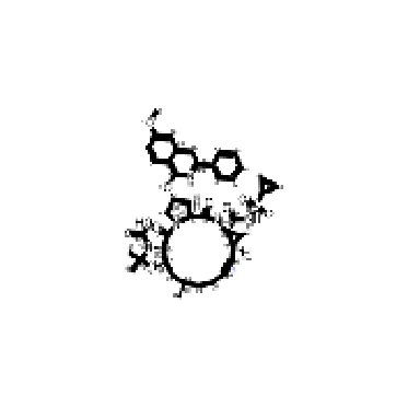 COc1ccc2c(O[C@@H]3C[C@H]4C(=O)N[C@]5(C(=O)NS(=O)(=O)C6CC6)C[C@H]5/C=C\CC[C@@H](C)C[C@@H](C)[C@H](N(C(=O)O)C(C)(C)C)C(=O)N4C3)nc(-c3ccccc3)cc2c1